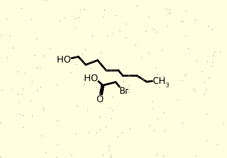 CCCCCCCCCO.O=C(O)CBr